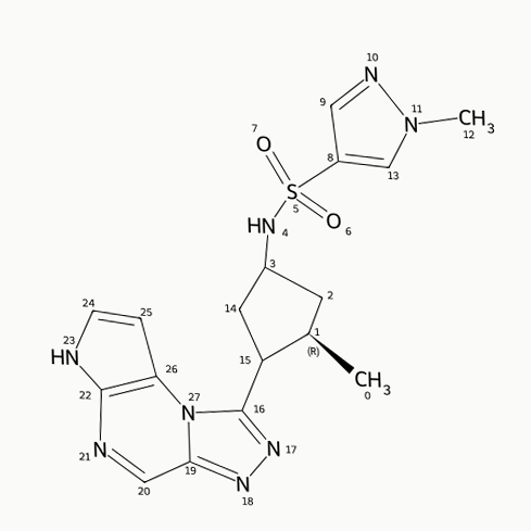 C[C@@H]1CC(NS(=O)(=O)c2cnn(C)c2)CC1c1nnc2cnc3[nH]ccc3n12